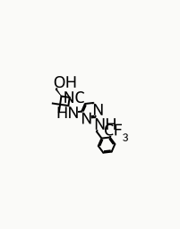 CC1(C)[C@@H](CO)C[C@@H]1Nc1nc(NCc2ccccc2C(F)(F)F)ncc1C#N